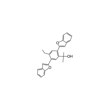 CCc1cc(-c2cc3ccccc3o2)c(C(C)(C)O)cc1-c1cc2ccccc2o1